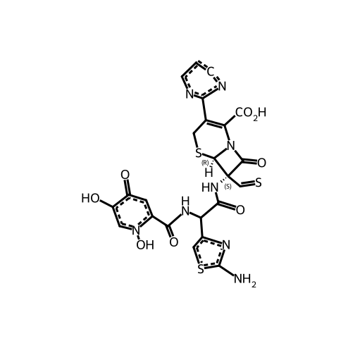 Nc1nc(C(NC(=O)c2cc(=O)c(O)cn2O)C(=O)N[C@@]2(C=S)C(=O)N3C(C(=O)O)=C(c4ncccn4)CS[C@@H]32)cs1